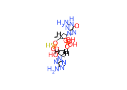 C=C[C@@]12CO[P@@](=O)(S)O[C@@H]3[C@@H](COP(=O)(O)O[C@]14[C@@H](O)[C@H](n1cnc5c(=O)[nH]c(N)nc51)C[C@@H]42)[C@@H]1C[C@]1(n1cnc2c(N)ncnc21)[C@@H]3O